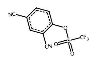 N#Cc1ccc(OS(=O)(=O)C(F)(F)F)c(C#N)c1